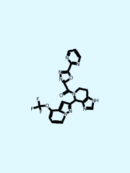 O=C(c1nnc(-c2ncccn2)o1)N1CCc2[nH]cnc2C1c1cc2c(OC(F)(F)F)cccn2n1